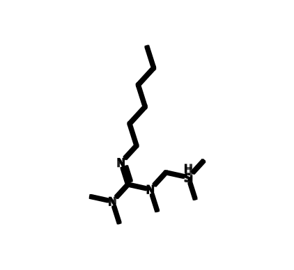 CCCCCCN=C(N(C)C)N(C)C[SiH](C)C